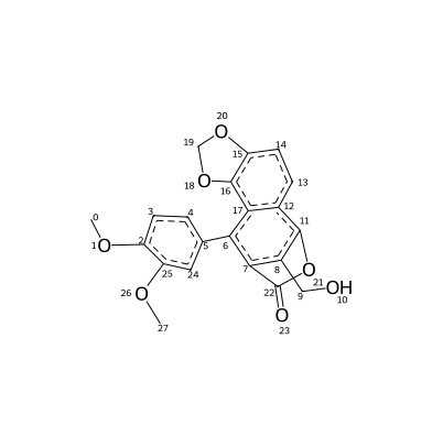 COc1ccc(-c2c3c(CO)c(c4ccc5c(c24)OCO5)OC3=O)cc1OC